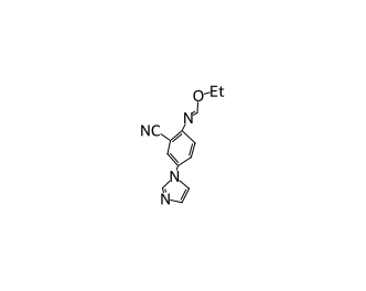 CCO/C=N/c1ccc(-n2ccnc2)cc1C#N